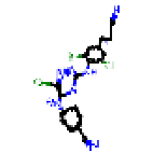 N#C/C=C/c1cc(Cl)c(Nc2nnc(Cl)c(Nc3ccc(C#N)cc3)n2)c(Br)c1